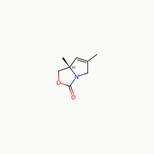 CC1=C[C@@]2(C)COC(=O)N2C1